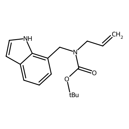 C=CCN(Cc1cccc2cc[nH]c12)C(=O)OC(C)(C)C